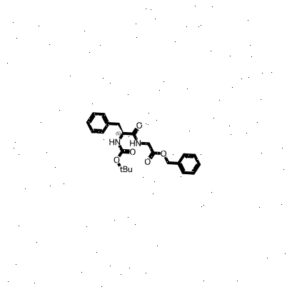 CC(C)(C)OC(=O)N[C@@H](Cc1ccccc1)C(=O)NCC(=O)OCc1ccccc1